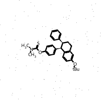 CN(C)C(=S)Oc1ccc([C@@H]2c3ccc(OC(C)(C)C)cc3CC[C@@H]2c2ccccc2)cc1